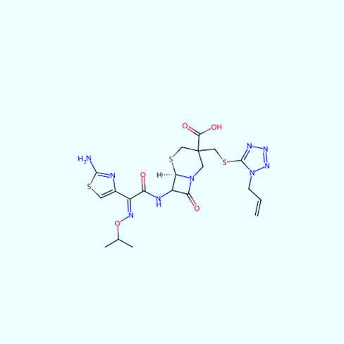 C=CCn1nnnc1SCC1(C(=O)O)CS[C@@H]2C(NC(=O)C(=NOC(C)C)c3csc(N)n3)C(=O)N2C1